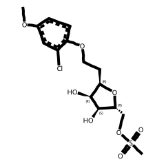 COc1ccc(OCC[C@H]2O[C@H](COS(C)(=O)=O)[C@@H](O)[C@H]2O)c(Cl)c1